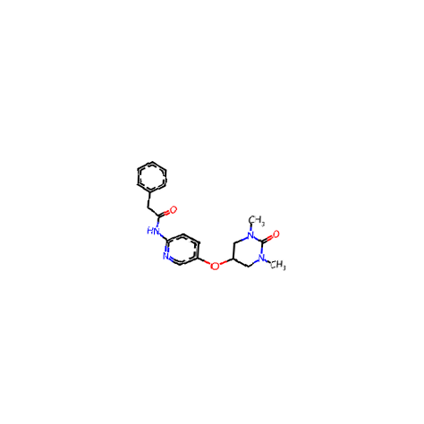 CN1CC(Oc2ccc(NC(=O)Cc3ccccc3)nc2)CN(C)C1=O